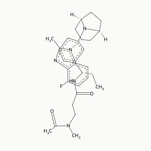 CC[C@H](NC(=O)CCN(C)C(C)=O)c1cccc(N2[C@@H]3CC[C@H]2C[C@H](n2c(C)nc4c(F)cccc42)C3)c1